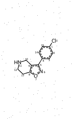 Clc1ccc(-c2noc3c2CNCC3)cc1